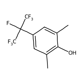 Cc1cc(C(F)(C(F)(F)F)C(F)(F)F)cc(C)c1O